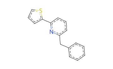 c1ccc(Cc2cccc(-c3cccs3)n2)cc1